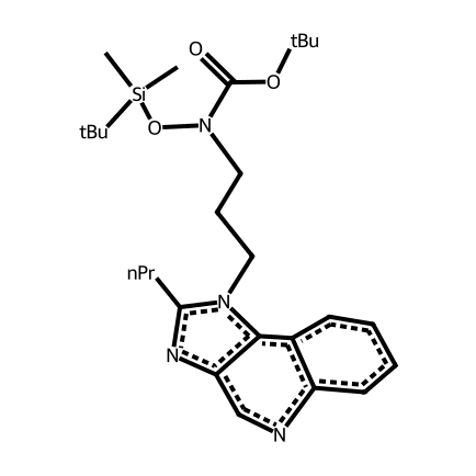 CCCc1nc2cnc3ccccc3c2n1CCCN(O[Si](C)(C)C(C)(C)C)C(=O)OC(C)(C)C